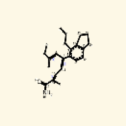 CCCc1c(C(/C=C(\C)CC)=C/C=C(\C)C(N)=O)ccc2c1CCC2